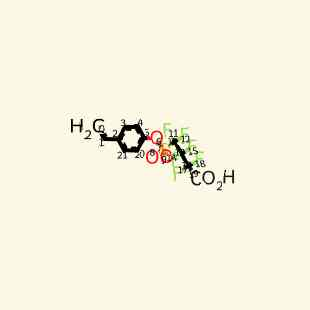 C=Cc1ccc(OS(=O)(=O)C(F)(F)C(F)(F)C(F)(F)C(=O)O)cc1